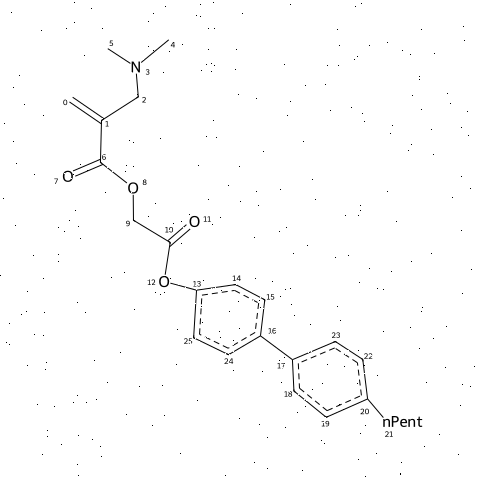 C=C(CN(C)C)C(=O)OCC(=O)Oc1ccc(-c2ccc(CCCCC)cc2)cc1